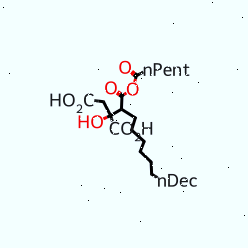 CCCCCCCCCCCCCCCCC(C(=O)OC(=O)CCCCC)C(O)(CC(=O)O)C(=O)O